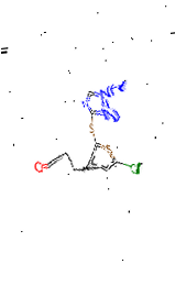 O=CCc1cc(Cl)sc1Sc1nc[nH]n1